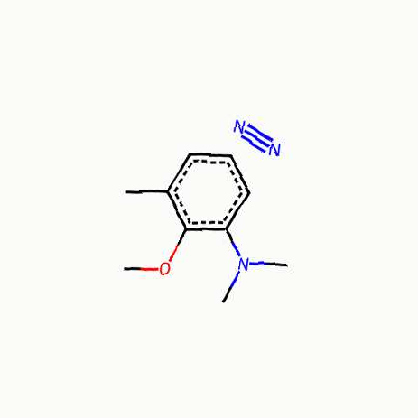 COc1c(C)cccc1N(C)C.N#N